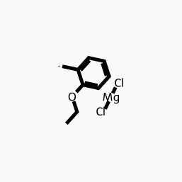 [CH2]c1ccccc1OCC.[Cl][Mg][Cl]